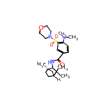 CN(C)c1ccc(C(=O)NC2C(C)(C)[C@@H]3CC[C@]2(C)C3)cc1S(=O)(=O)N1CCOCC1